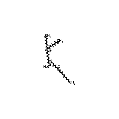 CCCCCCCCCCCOC(=O)CCCCC1CC(CCCCCC(=O)OC(CCCCCCCC)CCCCCCCC)CN1CC